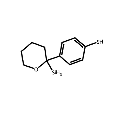 [SiH3]C1(c2ccc(S)cc2)CCCCO1